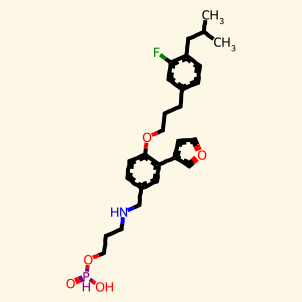 CC(C)Cc1ccc(CCCOc2ccc(CNCCCO[PH](=O)O)cc2-c2ccoc2)cc1F